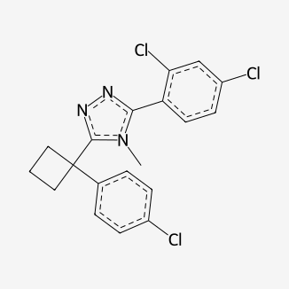 Cn1c(-c2ccc(Cl)cc2Cl)nnc1C1(c2ccc(Cl)cc2)CCC1